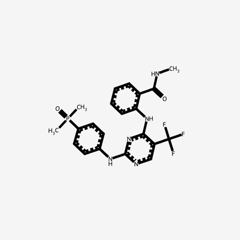 CNC(=O)c1ccccc1Nc1nc(Nc2ccc(P(C)(C)=O)cc2)ncc1C(F)(F)F